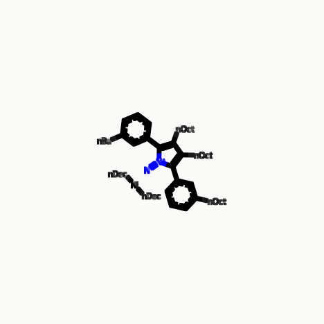 CCCCCCCCC1=C(c2cccc(CCCC)c2)[N+](=[N-])C(c2cccc(CCCCCCCC)c2)=C1CCCCCCCC.CCCCCCCCC[CH2][Ni][CH2]CCCCCCCCC